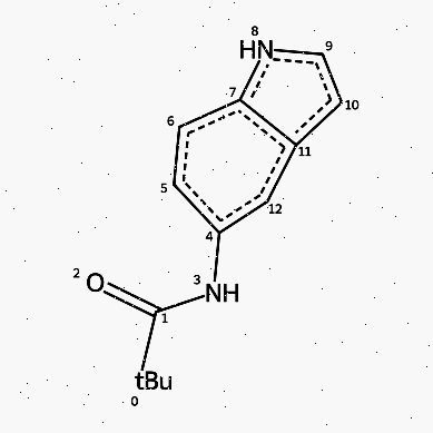 CC(C)(C)C(=O)Nc1ccc2[nH]ccc2c1